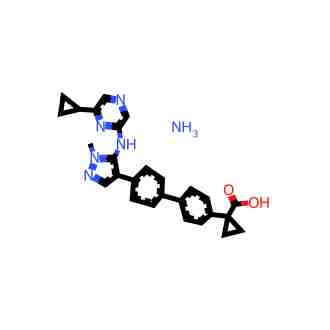 Cn1ncc(-c2ccc(-c3ccc(C4(C(=O)O)CC4)cc3)cc2)c1Nc1cncc(C2CC2)n1.N